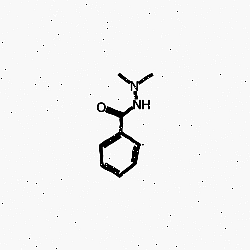 CN(C)NC(=O)c1[c]cccc1